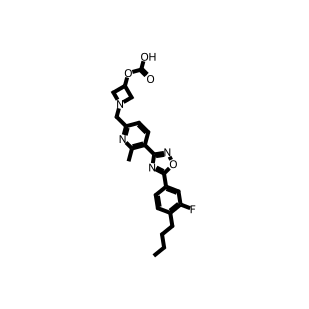 CCCCc1ccc(-c2nc(-c3ccc(CN4CC(OC(=O)O)C4)nc3C)no2)cc1F